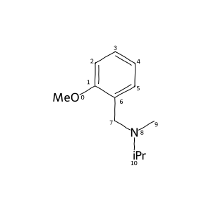 COc1ccccc1CN(C)C(C)C